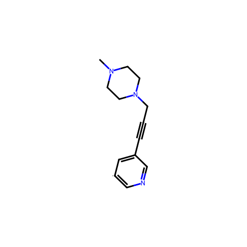 CN1CCN(CC#Cc2c[c]cnc2)CC1